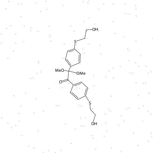 COC(OC)(C(=O)c1ccc(SCCO)cc1)c1ccc(SCCO)cc1